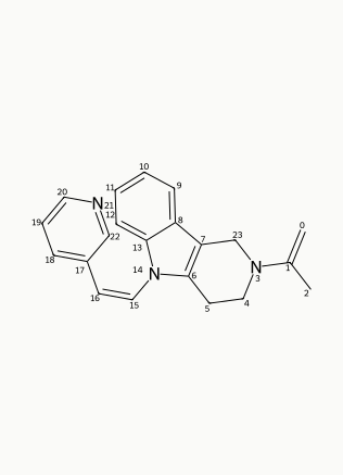 C=C(C)N1CCc2c(c3ccccc3n2/C=C\c2cccnc2)C1